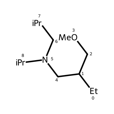 CCC(COC)CN(CC(C)C)C(C)C